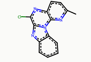 Cc1ccc2nc(Cl)c3nc4ccccc4n3c2n1